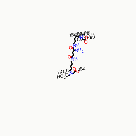 CC(C)(C)OC(=O)CN(CC(=O)O)C(CCCCNC(=O)CCC(N)C(=O)NCCCC(C(C)(C)C)C(C(=O)O)(N(CC(=O)OC(C)(C)C)C(C(=O)O)(C(C)(C)C)C(C)(C)C)C(C)(C)C)C(=O)O